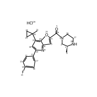 C[C@H]1CN(C(=O)c2cc3nc(-c4ccc(F)cc4)cc(C4(C)CC4)c3o2)CCN1.Cl